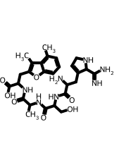 Cc1cccc2oc(CC(NC(=O)C(C)NC(=O)C(CO)NC(=O)C(N)CC3=CCNC3C(=N)N)C(=O)O)c(C)c12